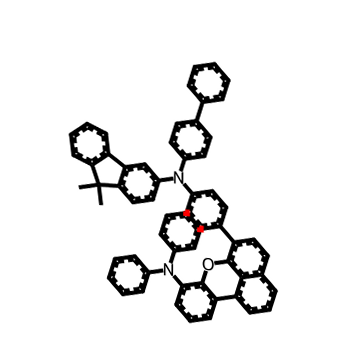 CC1(C)c2ccccc2-c2cc(N(c3ccc(-c4ccccc4)cc3)c3ccc(-c4ccc5cccc6c5c4Oc4c-6cccc4N(c4ccccc4)c4ccccc4)cc3)ccc21